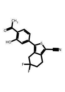 CC(=O)c1ccc(-c2sc(C#N)c3c2CC(F)(F)CC3)cc1O